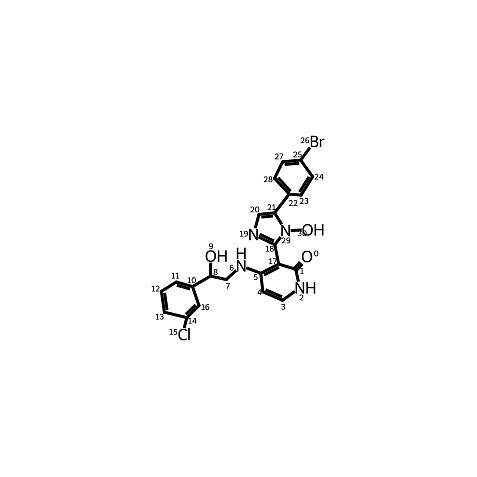 O=c1[nH]ccc(NCC(O)c2cccc(Cl)c2)c1-c1ncc(-c2ccc(Br)cc2)n1O